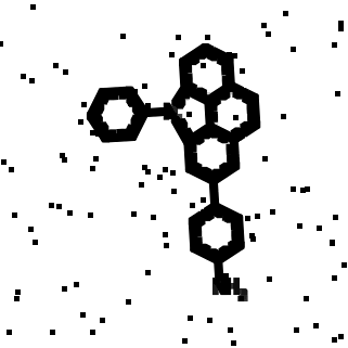 Nc1ccc(-c2cc3ccc4cccc5c4c3c(c2)n5-c2ccccc2)cc1